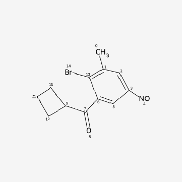 Cc1cc(N=O)cc(C(=O)C2CCC2)c1Br